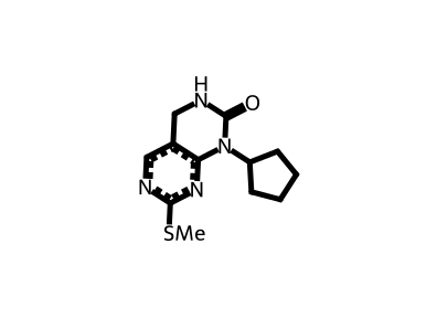 CSc1ncc2c(n1)N(C1CCCC1)C(=O)NC2